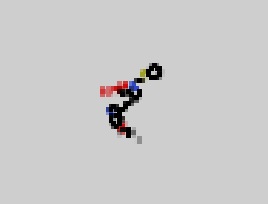 COc1ccc2nccc(CCC[C@@H]3CCN(CCSC4CCCCCC4)C[C@@H]3CC(=O)O)c2c1